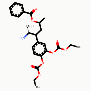 CCC(C)COC(=O)Oc1ccc(C(CC(C)OC(=O)c2ccccc2)[C@H](N)C(=O)O)cc1OC(=O)OCC(C)CC